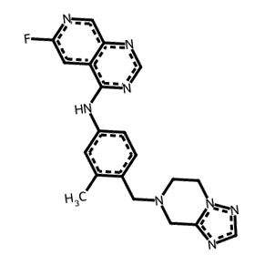 Cc1cc(Nc2ncnc3cnc(F)cc23)ccc1CN1CCn2ncnc2C1